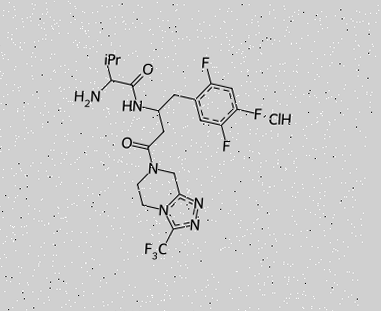 CC(C)C(N)C(=O)NC(CC(=O)N1CCn2c(nnc2C(F)(F)F)C1)Cc1cc(F)c(F)cc1F.Cl